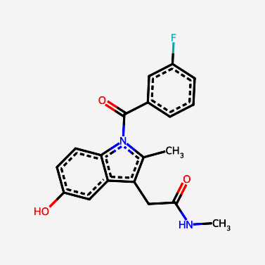 CNC(=O)Cc1c(C)n(C(=O)c2cccc(F)c2)c2ccc(O)cc12